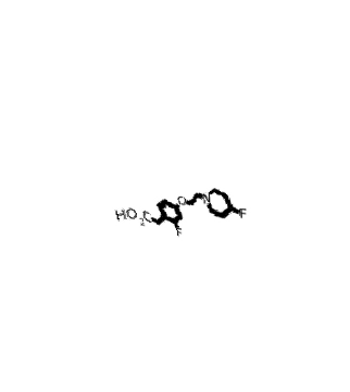 O=C(O)Cc1ccc(OCCN2CCC(F)CC2)cc1F